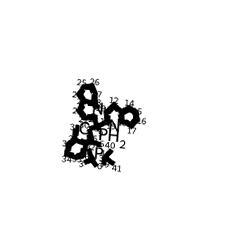 CC(C)(C)P(Cc1c(C(P)(c2ccc3ccccc3n2)c2ccc3ccccc3n2)ccc2ccccc12)C(C)(C)C